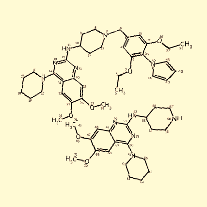 CCOc1cc(CN2CCC(Nc3nc(N4CCCCC4)c4cc(OC)c(OC)cc4n3)CC2)cc(OCC)c1-n1cccc1.COc1cc2nc(NC3CCNCC3)nc(N3CCCCC3)c2cc1OC